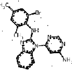 Cc1cc(C)c(Nc2nc3ccccc3n2-c2cc(N)ncn2)c(Br)c1